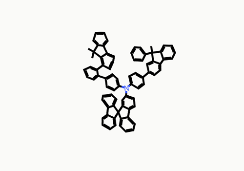 CC1(C)c2ccccc2-c2cccc(-c3ccccc3-c3ccc(N(c4ccc(-c5ccc6c(c5)C(C)(c5ccccc5)c5ccccc5-6)cc4)c4ccc5c(c4)C4(c6ccccc6-c6ccccc64)c4ccccc4-5)cc3)c21